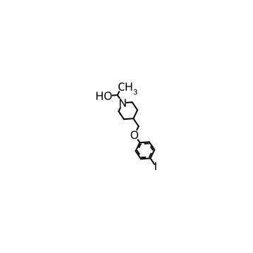 CC(O)N1CCC(COc2ccc(I)cc2)CC1